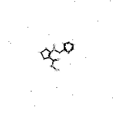 CNC(=O)C1=C([S+]([O-])Cc2ccccc2)CCC1